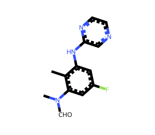 Cc1c(Nc2cnccn2)cc(F)cc1N(C)C=O